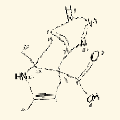 CC1=CC(C(=O)O)(c2c[nH]nn2)C(C)(C)N1